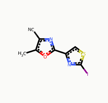 Cc1oc(-c2csc(I)n2)nc1C#N